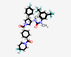 CN(C(=O)N(C)[C@@H]1CN(C(=O)[C@H]2CC[C@H](C(=O)N3CCC(F)(F)CC3)CC2)C[C@H]1c1ccc(F)cc1)c1cc(C(F)(F)F)cc(C(F)(F)F)c1